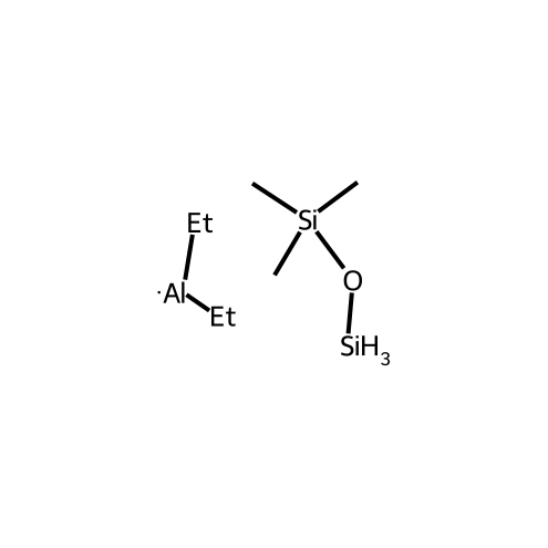 C[CH2][Al][CH2]C.C[Si](C)(C)O[SiH3]